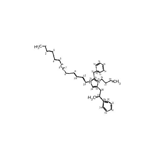 CCCCCCCCCCCCCn1cc(CC(C)c2ccccc2)[n+](CCCC)c1Cc1ccccc1